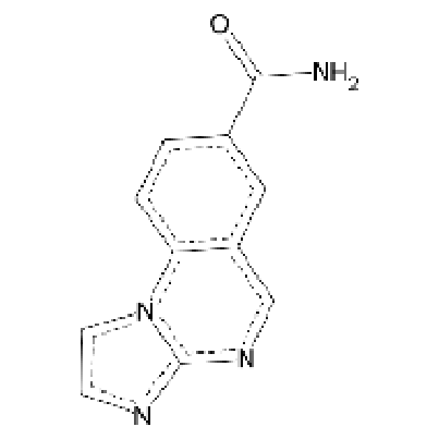 NC(=O)c1ccc2c(cnc3nccn32)c1